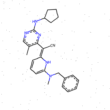 Cc1cnc(NC2CCCC2)nc1C(C#N)=C1C=CC=C(N(C)Cc2ccccc2)N1